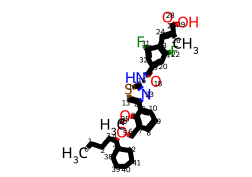 CCCCC(OCc1cccc(-c2csc(NC(=O)c3cc(F)c(C=C(C)C(=O)O)c(F)c3)n2)c1OC)C1CCCCC1